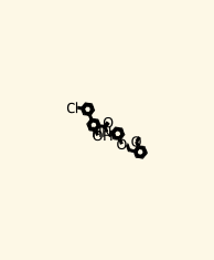 COc1ccccc1CCOc1cccc(NC(=O)c2cc(-c3cccc(Cl)c3)ccc2O)c1